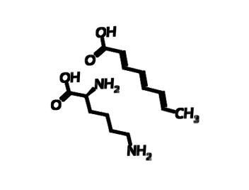 CC=CC=CC=CC(=O)O.NCCCC[C@H](N)C(=O)O